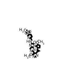 CCS(=O)(=O)c1ccc(CNc2nc3cnc(-c4c(OC)ncnc4C4CC4)nc3n(C3CCC[C@@H]3OC)c2=O)nc1